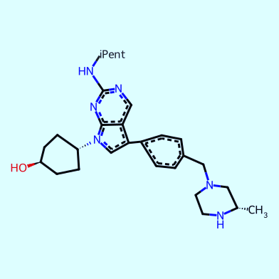 CCCC(C)Nc1ncc2c(-c3ccc(CN4CCN[C@@H](C)C4)cc3)cn([C@H]3CC[C@H](O)CC3)c2n1